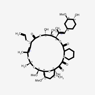 C=CC[C@H]1/C=C(\C)C[C@H](C)C[C@H](OC)[C@H]2O[C@@](O)(C(=O)C(=O)N3CCCCC3C(=O)O[C@H](/C(C)=C/[C@@H]3CC[C@@H](O)[C@H](OC)C3)[C@H](C)[C@@H](O)CC1=O)[C@H](C)C[C@@H]2OC